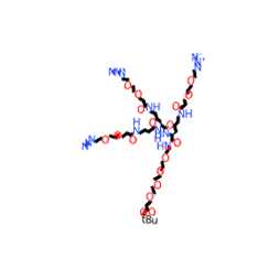 CC(C)(C)OC(=O)CCOCCOCCOCCOCCNC(=O)[C@H](CCCCNC(=O)CCOCCOCCN=[N+]=[N-])NC(=O)[C@H](CCCCNC(=O)CCOCCOCCN=[N+]=[N-])NC(=O)CCCNC(=O)CCOCCOCCN=[N+]=[N-]